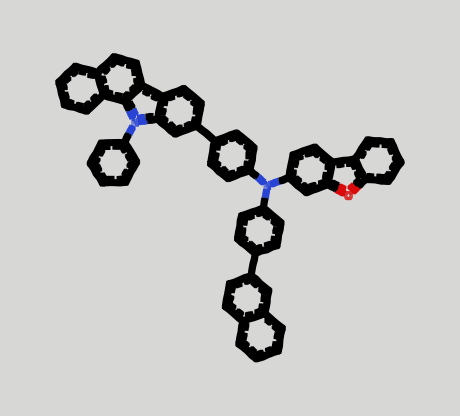 c1ccc(-n2c3cc(-c4ccc(N(c5ccc(-c6ccc7ccccc7c6)cc5)c5ccc6c(c5)oc5ccccc56)cc4)ccc3c3ccc4ccccc4c32)cc1